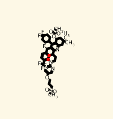 CC1(C)Cc2nc(C3CCN(c4ncc(OCCCS(C)(=O)=O)cn4)CC3)c([C@@H](F)c3ccc(C(F)(F)F)cc3)c(C3CCC(F)(F)CC3)c2[C@@H](OS(C)(=O)=O)C1